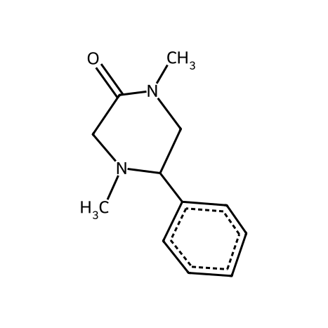 CN1CC(c2ccccc2)N(C)CC1=O